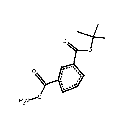 CC(C)(C)OC(=O)c1cccc(C(=O)ON)c1